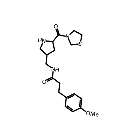 COc1ccc(CCC(=O)NCC2CNC(C(=O)N3CCSC3)C2)cc1